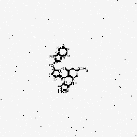 CC1CC(=O)C2=C(C1)Nc1n[nH]cc1C2c1ccc(Sc2nc3ccccc3[nH]2)o1